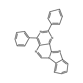 c1ccc(-c2nc(-c3ccccc3)c3ncn4c5ccccc5nc4c3n2)cc1